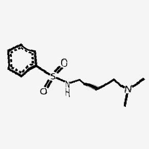 CN(C)CCCNS(=O)(=O)c1ccccc1